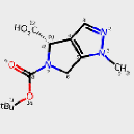 Cn1ncc2c1CN(C(=O)OC(C)(C)C)[C@@H]2C(=O)O